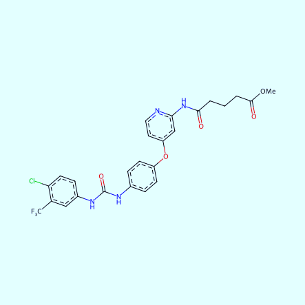 COC(=O)CCCC(=O)Nc1cc(Oc2ccc(NC(=O)Nc3ccc(Cl)c(C(F)(F)F)c3)cc2)ccn1